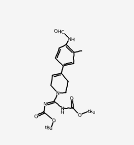 Cc1cc(C2=CCN(C(=NC(=O)OC(C)(C)C)NC(=O)OC(C)(C)C)CC2)ccc1NC=O